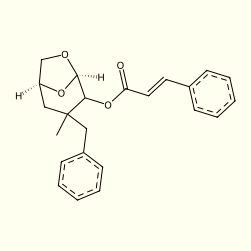 CC1(Cc2ccccc2)C[C@H]2CO[C@H](O2)C1OC(=O)/C=C/c1ccccc1